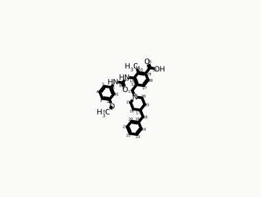 COc1cccc(NC(=O)Nc2c(CN3CCC(Cc4ccccc4)CC3)ccc(C(=O)O)c2C)c1